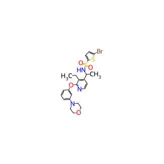 CCc1c(C(C)NS(=O)(=O)c2ccc(Br)s2)ccnc1Oc1cccc(N2CCOCC2)c1